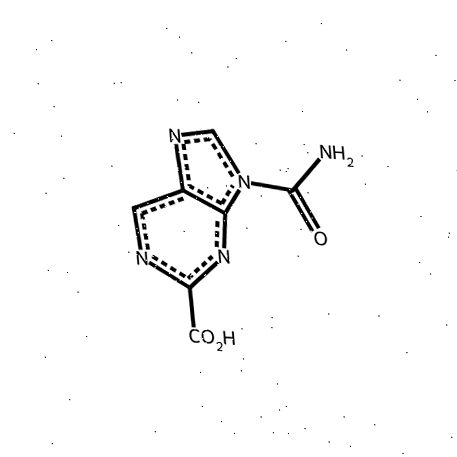 NC(=O)n1cnc2cnc(C(=O)O)nc21